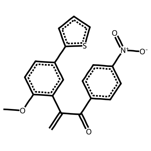 C=C(C(=O)c1ccc([N+](=O)[O-])cc1)c1cc(-c2cccs2)ccc1OC